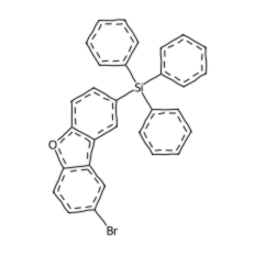 Brc1ccc2oc3ccc([Si](c4ccccc4)(c4ccccc4)c4ccccc4)cc3c2c1